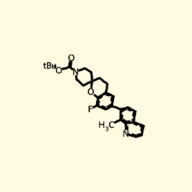 Cc1c(-c2cc(F)c3c(c2)CCC2(CCN(C(=O)OC(C)(C)C)CC2)O3)ccc2cccnc12